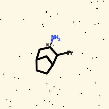 CC(C)C1C2CCC(C2)C[C@@H]1N